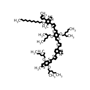 CCCCCCCCCCCCOc1c(C)c(-c2ccc(-c3cc4c(OCC(CC)CCCC)c5sc(-c6ccc(-c7ccc(-c8ccc(-c9cc%10c(OCC(CC)CCCC)c%11sc(C)cc%11c(OCC(CC)CCCC)c%10s9)s8)c8nsnc78)s6)cc5c(OCC(CC)CCCC)c4s3)s2)c2nsnc2c1-c1ccc(C)s1